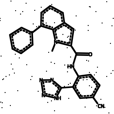 Cn1c(C(=O)Nc2ccc(C#N)cc2-c2nnn[nH]2)cc2cccc(-c3ccccc3)c21